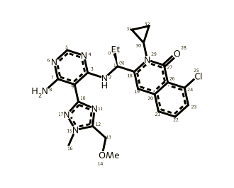 CC[C@H](Nc1ncnc(N)c1-c1nc(COC)n(C)n1)c1cc2cccc(Cl)c2c(=O)n1C1CC1